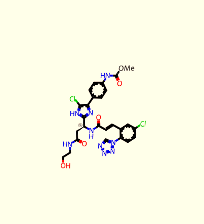 COC(=O)Nc1ccc(-c2nc([C@H](CC(=O)NCCO)NC(=O)C=Cc3cc(Cl)ccc3-n3cnnn3)[nH]c2Cl)cc1